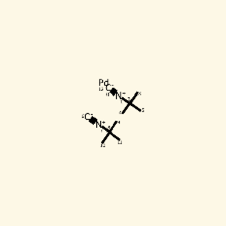 [C-]#[N+]C(C)(C)C.[C-]#[N+]C(C)(C)C.[Pd]